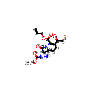 C=CCOC(=O)C1=C(C(=O)CBr)CC[C@H]2[C@H](NC(=O)OC(C)(C)C)C(=O)N12